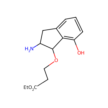 CCOC(=O)CCOC1c2c(O)cccc2CC1N